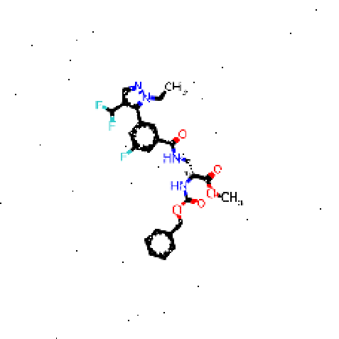 CCn1ncc(C(F)F)c1-c1cc(F)cc(C(=O)NC[C@@H](NC(=O)OCc2ccccc2)C(=O)OC)c1